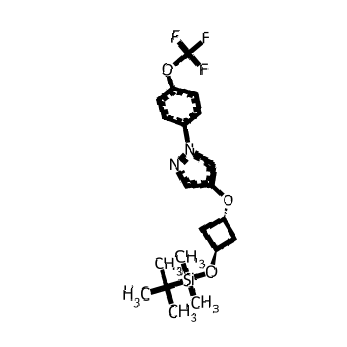 CC(C)(C)[Si](C)(C)O[C@H]1C[C@H](Oc2cnn(-c3ccc(OC(F)(F)F)cc3)c2)C1